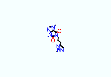 Cn1ncc(CCCn2c(=O)c3c(ncn3C)n(C)c2=O)n1